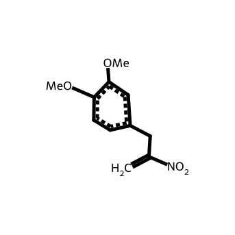 C=C(Cc1ccc(OC)c(OC)c1)[N+](=O)[O-]